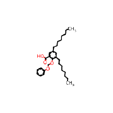 CCCCCCCCc1cc(CCCCCCCC)c(OCOc2ccccc2)c(C(=O)O)c1